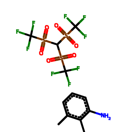 Cc1cccc(N)c1C.O=S(=O)(C(S(=O)(=O)C(F)(F)F)S(=O)(=O)C(F)(F)F)C(F)(F)F